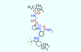 CC1(C)CCc2c(C(F)(F)F)nn(-c3ccc(C(N)=O)c(N[C@H]4CCC[C@@H]4OC(=O)CNC(=O)OC(C)(C)C)c3)c2C1